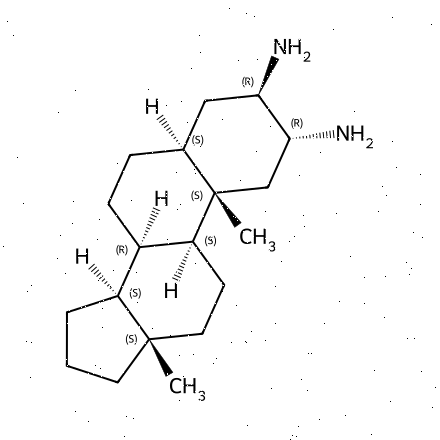 C[C@@]12CCC[C@H]1[C@H]1CC[C@H]3C[C@@H](N)[C@H](N)C[C@]3(C)[C@H]1CC2